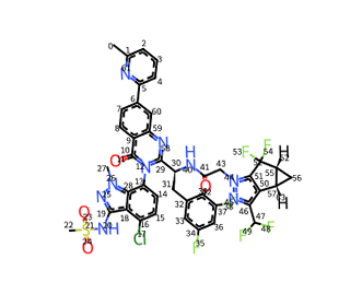 Cc1cccc(-c2ccc3c(=O)n(-c4ccc(Cl)c5c(NS(C)(=O)=O)nn(C)c45)c([C@H](Cc4cc(F)cc(F)c4)NC(=O)Cn4nc(C(F)F)c5c4C(F)(F)[C@@H]4C[C@H]54)nc3c2)n1